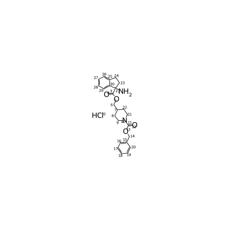 Cl.NC1(C(=O)OCC2CCN(C(=O)OCc3ccccc3)CC2)CCc2ccccc21